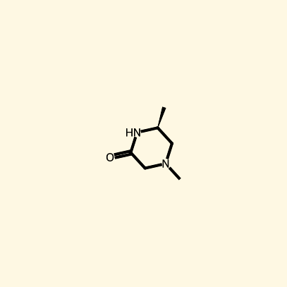 C[C@H]1CN(C)CC(=O)N1